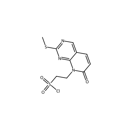 CSc1ncc2ccc(=O)n(CCS(=O)(=O)Cl)c2n1